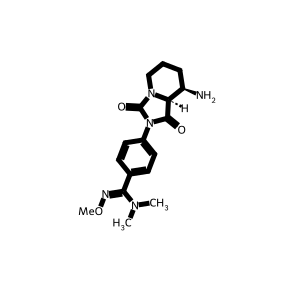 CON=C(c1ccc(N2C(=O)[C@@H]3[C@H](N)CCCN3C2=O)cc1)N(C)C